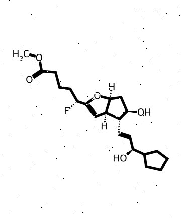 COC(=O)CCC[C@@H](F)C1=C[C@@H]2[C@@H](/C=C/[C@H](O)C3CCCC3)[C@H](O)C[C@@H]2O1